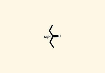 CCC(=O)CC.[MgH2]